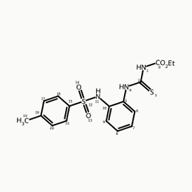 CCOC(=O)NC(=S)Nc1ccccc1NS(=O)(=O)c1ccc(C)cc1